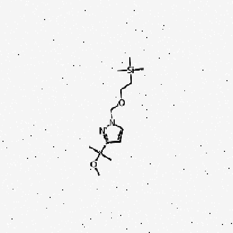 COC(C)(C)c1ccn(COCC[Si](C)(C)C)n1